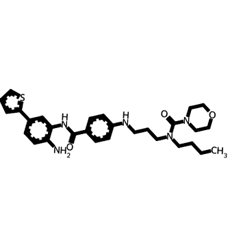 CCCCN(CCCNc1ccc(C(=O)Nc2cc(-c3cccs3)ccc2N)cc1)C(=O)N1CCOCC1